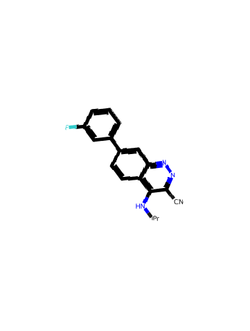 CC(C)Nc1c(C#N)nnc2cc(-c3cccc(F)c3)ccc12